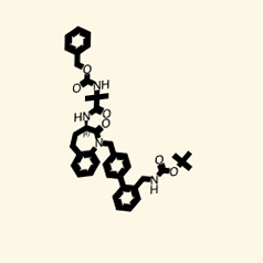 CC(C)(C)OC(=O)NCc1ccccc1-c1ccc(CN2C(=O)[C@H](NC(=O)C(C)(C)NC(=O)OCc3ccccc3)CCc3ccccc32)cc1